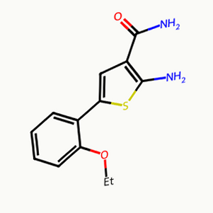 CCOc1ccccc1-c1cc(C(N)=O)c(N)s1